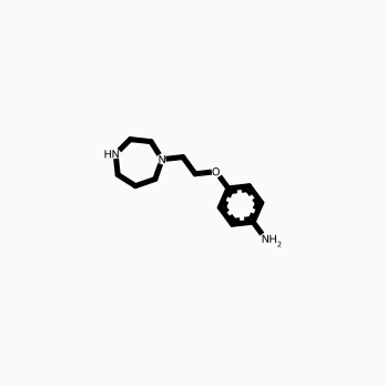 Nc1ccc(OCCN2CCCNCC2)cc1